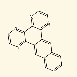 c1ccc2cc3c(cc2c1)c1nccnc1c1nccnc31